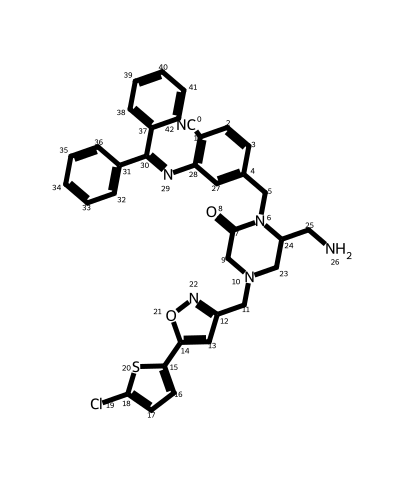 N#Cc1ccc(CN2C(=O)CN(Cc3cc(-c4ccc(Cl)s4)on3)CC2CN)cc1N=C(c1ccccc1)c1ccccc1